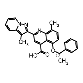 Cc1ccc(O[C@@H](C)c2ccccc2)c2c(C(=O)O)cc(-c3nn4ccccc4c3C)nc12